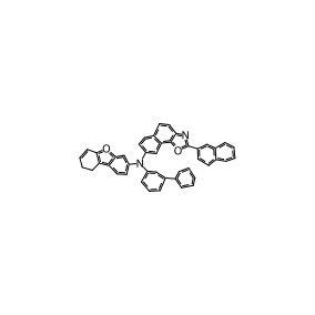 C1=Cc2oc3cc(N(c4cccc(-c5ccccc5)c4)c4ccc5ccc6nc(-c7ccc8ccccc8c7)oc6c5c4)ccc3c2CC1